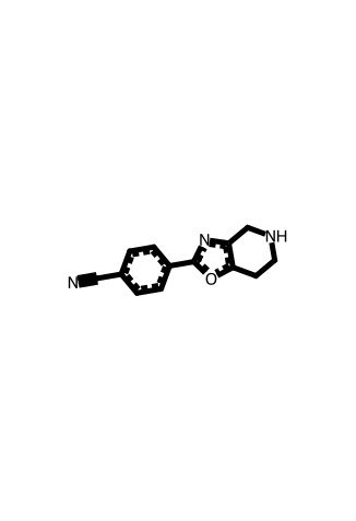 N#Cc1ccc(-c2nc3c(o2)CCNC3)cc1